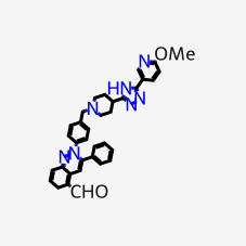 COc1ccc(-c2nnc(C3CCN(Cc4ccc(N5N=C6C=CCC(C=O)=C6C=C5c5ccccc5)cc4)CC3)[nH]2)cn1